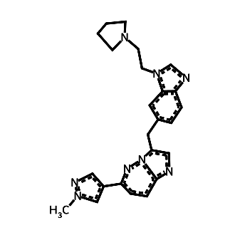 Cn1cc(-c2ccc3ncc(Cc4ccc5ncn(CCN6CCCC6)c5c4)n3n2)cn1